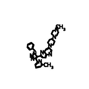 Cc1cccc(-c2nnn(Cc3ccccc3)c2-c2ccc3ncc(N4CCC(N5CCN(C)CC5)CC4)cc3n2)n1